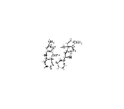 COc1nn(C)cc1Nc1nccc(-c2cccc(-c3cc([C@]4(O)CCN(C)C4=O)on3)c2)n1